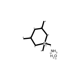 CC1CC(C)C[N+](C)(C)C1.N.O